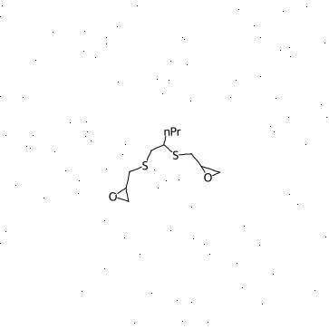 CCCC(CSCC1CO1)SCC1CO1